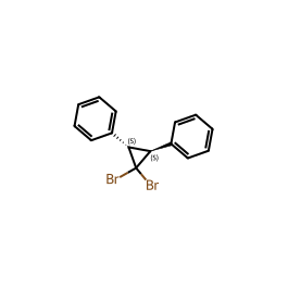 BrC1(Br)[C@H](c2ccccc2)[C@H]1c1ccccc1